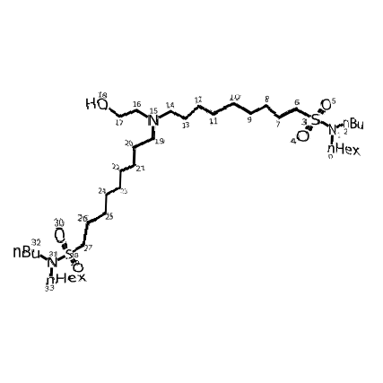 CCCCCCN(CCCC)S(=O)(=O)CCCCCCCCCN(CCO)CCCCCCCCCS(=O)(=O)N(CCCC)CCCCCC